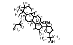 CC(C)(O)[C@@H]1CC[C@@](C)([C@H]2[C@@H](O)C[C@@]3(C)[C@@H]4C[C@H](OC(=O)CN)[C@H]5C(C)(C)C(F)(F)CC[C@@]56C[C@@]46CC[C@]23C)O1